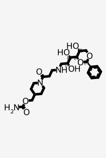 NC(=O)OCC1CCN(C(=O)CCNC[C@H](O)[C@@H](O)[C@@H]2O[C@H](c3ccccc3)OC[C@H]2O)CC1